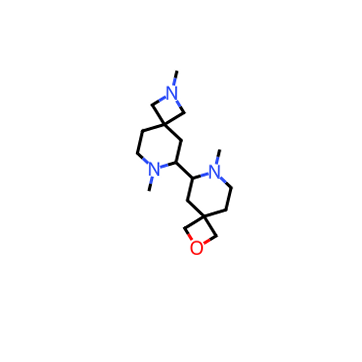 CN1CC2(CCN(C)C(C3CC4(CCN3C)COC4)C2)C1